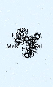 CNCC1=CC[C@@H](NC(=O)OC(C)(C)C)[C@@H](O[C@H]2[C@H](O)[C@@H](O[C@H]3OC[C@](C)(O)C(N(C)S(=O)(=O)c4ccccc4)[C@H]3O)[C@H](NS(=O)(=O)c3ccccc3)C[C@@H]2C)O1